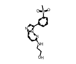 CS(=O)(=O)c1cccc(-c2cnc3ccc(NCCO)nn23)c1